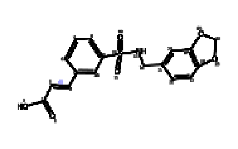 O=C(O)/C=C/c1cccc(S(=O)(=O)NCc2ccc3c(c2)OCO3)c1